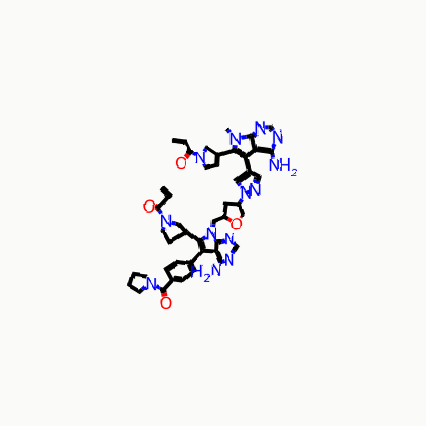 C=CC(=O)N1CCC(c2c(-c3cnn(C4COC(Cn5c(C6CCN(C(=O)C=C)C6)c(-c6ccc(C(=O)N7CCCC7)cc6)c6c(N)ncnc65)C4)c3)c3c(N)ncnc3n2C)C1